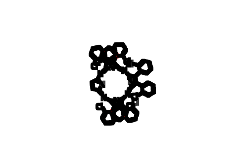 Clc1ccccc1C1=C(c2ccccc2Cl)c2nc1nc1c(-c3ccccc3Cl)c(-c3ccccc3Cl)c(nc3nc(nc4c(-c5ccccc5Cl)c(-c5ccccc5Cl)c(n2)n4-c2ccccc2Cl)C=C3)n1-c1ccccc1Cl